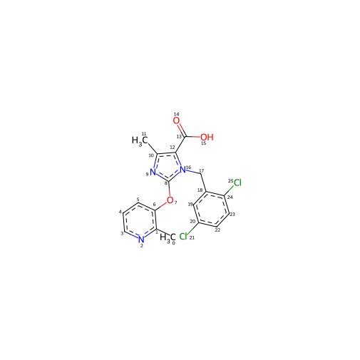 Cc1ncccc1Oc1nc(C)c(C(=O)O)n1Cc1cc(Cl)ccc1Cl